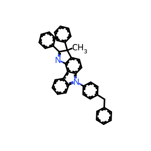 CC1(c2ccccc2)C(c2ccccc2)=Nc2c1ccc1c2c2ccccc2n1-c1ccc(Cc2ccccc2)cc1